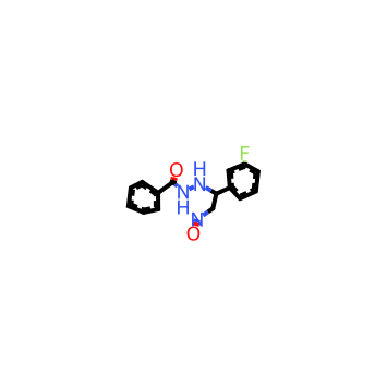 O=NCC(NNC(=O)c1ccccc1)c1cccc(F)c1